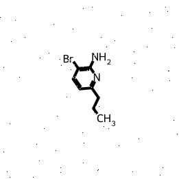 CCCc1ccc(Br)c(N)n1